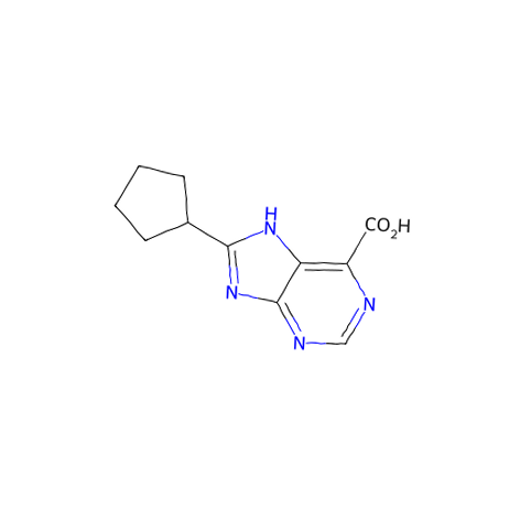 O=C(O)c1ncnc2nc(C3CCCC3)[nH]c12